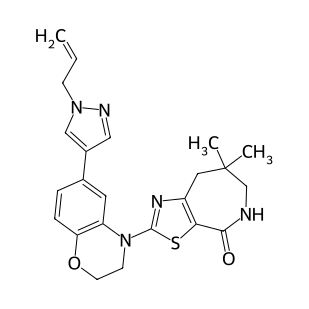 C=CCn1cc(-c2ccc3c(c2)N(c2nc4c(s2)C(=O)NCC(C)(C)C4)CCO3)cn1